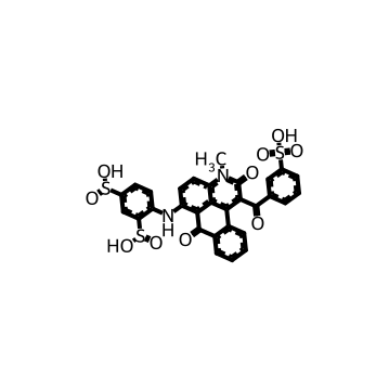 Cn1c(=O)c(C(=O)c2cccc(S(=O)(=O)O)c2)c2c3c(c(Nc4ccc(S(=O)O)cc4S(=O)O)ccc31)C(=O)c1ccccc1-2